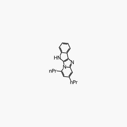 CCCc1cc(CCC)n2c(c1)nc1c3ccccc3[nH]c12